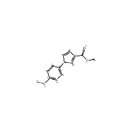 COC(=O)c1ncn(-c2ccc(OC)nc2)n1